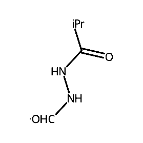 CC(C)C(=O)NN[C]=O